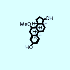 COC1CC2=CC(O)C=C[C@]2(C)[C@@H]2CC[C@]3(C)C(O)CC[C@H]3[C@H]12